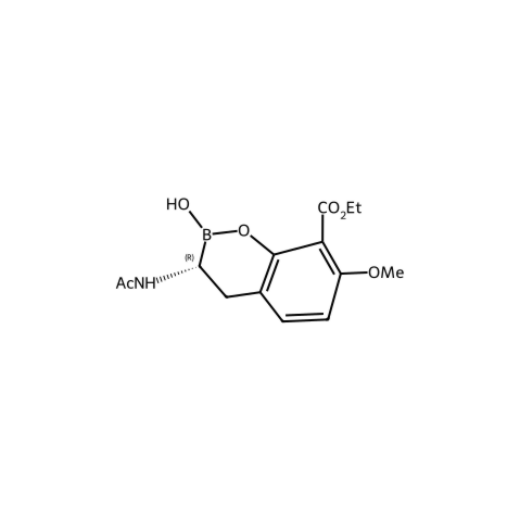 CCOC(=O)c1c(OC)ccc2c1OB(O)[C@@H](NC(C)=O)C2